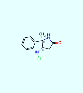 C[C@]1(c2ccccc2)NC(=O)C[C@@H]1NCl